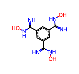 N=C(NO)c1cc(C(=N)NO)cc(C(=N)NO)c1